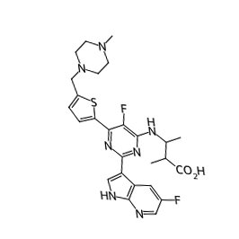 CC(Nc1nc(-c2c[nH]c3ncc(F)cc23)nc(-c2ccc(CN3CCN(C)CC3)s2)c1F)C(C)C(=O)O